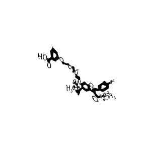 CNC(=O)c1c(-c2ccc(F)cc2)oc2cc(N(CCOCCOCCOc3cccc(C(=O)O)c3)S(C)(=O)=O)c(C3CC3)cc12